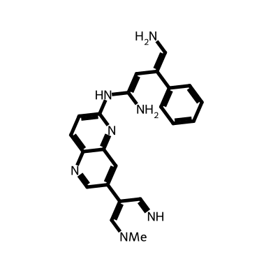 CN/C=C(\C=N)c1cnc2ccc(N/C(N)=C/C(=C\N)c3ccccc3)nc2c1